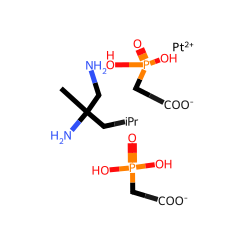 CC(C)CC(C)(N)CN.O=C([O-])CP(=O)(O)O.O=C([O-])CP(=O)(O)O.[Pt+2]